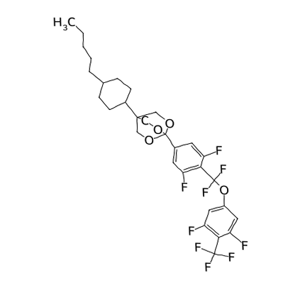 CCCCCC1CCC(C23COC(c4cc(F)c(C(F)(F)Oc5cc(F)c(C(F)(F)F)c(F)c5)c(F)c4)(OC2)OC3)CC1